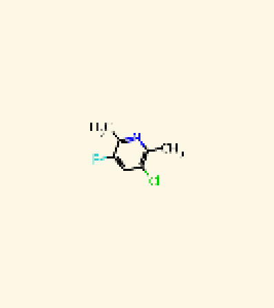 Cc1nc(C)c(Cl)cc1F